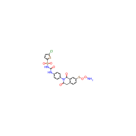 NOOSc1ccc2c(c1)C(=O)N(c1ccc(NC(=O)NS(=O)(=O)c3ccc(Cl)s3)cc1)C(=O)C2